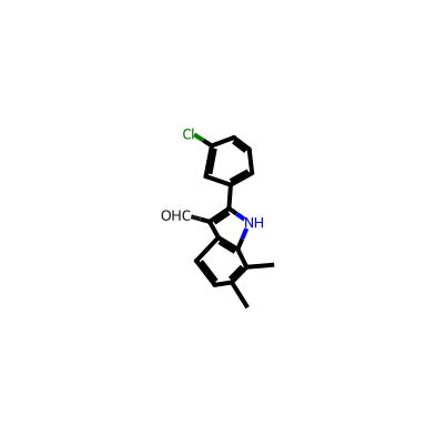 Cc1ccc2c(C=O)c(-c3cccc(Cl)c3)[nH]c2c1C